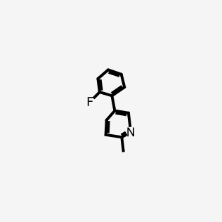 Cc1ccc(-c2ccccc2F)cn1